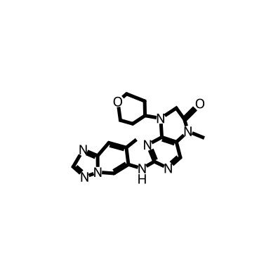 Cc1cc2ncnn2cc1Nc1ncc2c(n1)N(C1CCOCC1)CC(=O)N2C